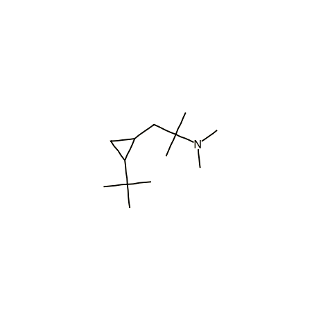 CN(C)C(C)(C)CC1CC1C(C)(C)C